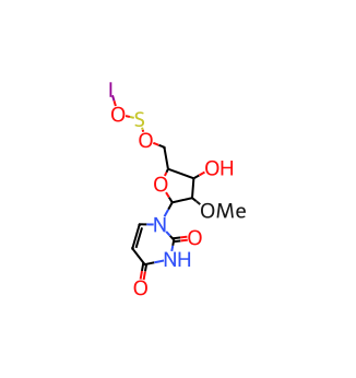 COC1C(O)C(COSOI)OC1n1ccc(=O)[nH]c1=O